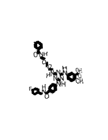 O=C(NCCOCCOCCNc1nc(Nc2ccc(C(=O)NCc3ccc(F)cc3)cc2)nc(Nc2ccc(O)c(C(=O)O)c2)n1)c1ccccc1